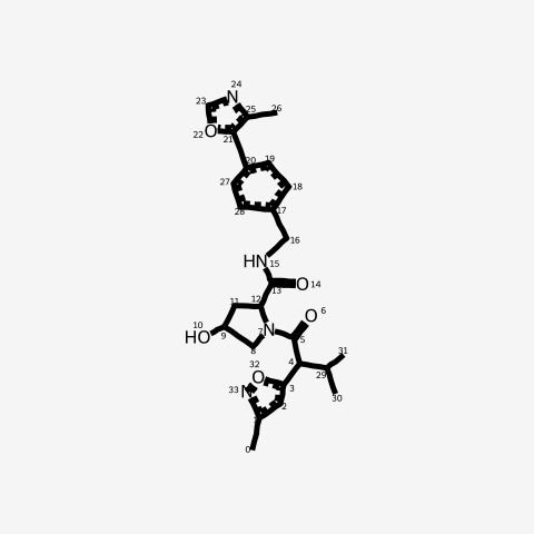 Cc1cc(C(C(=O)N2CC(O)CC2C(=O)NCc2ccc(-c3ocnc3C)cc2)C(C)C)on1